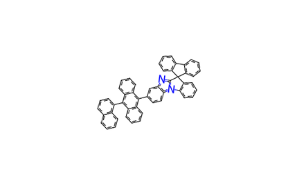 c1ccc2c(c1)-c1ccccc1C21c2ccccc2-n2c1nc1cc(-c3c4ccccc4c(-c4cccc5ccccc45)c4ccccc34)ccc12